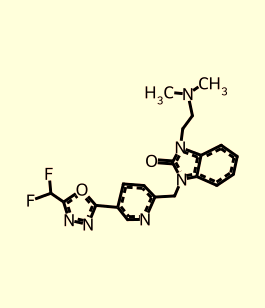 CN(C)CCn1c(=O)n(Cc2ccc(-c3nnc(C(F)F)o3)cn2)c2ccccc21